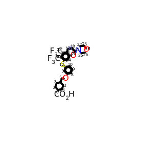 O=C(O)C1CCC(COc2cccc(Sc3ccc(/C=C\C(=O)N4CCOCC4)c(C(F)(F)F)c3C(F)(F)F)c2)CC1